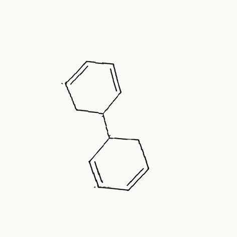 [C]1=CC=C[C]([C]2C=[C]C=CC2)C1